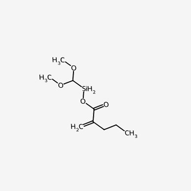 C=C(CCC)C(=O)O[SiH2]C(OC)OC